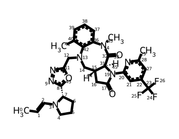 CC=CN1CCC[C@H]1c1nnc(CN2C[C@H]3CC(=O)N(c4cc(C(F)(F)F)cc(C)n4)[C@@H]3C(=O)N(C)c3cccc(C)c32)o1